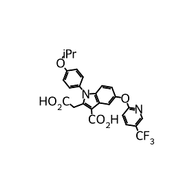 CC(C)Oc1ccc(-n2c(CC(=O)O)c(C(=O)O)c3cc(Oc4ccc(C(F)(F)F)cn4)ccc32)cc1